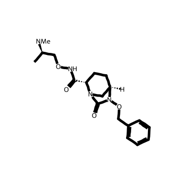 CN[C@H](C)CONC(=O)[C@@H]1CC[C@@H]2CN1C(=O)N2OCc1ccccc1